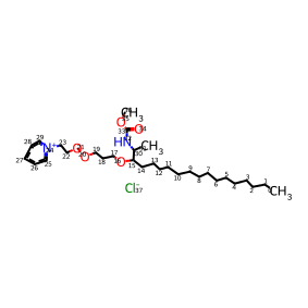 CCCCCCCCCCCCCCCC(OCCCOOCC[n+]1ccccc1)C(C)NC(=O)OC.[Cl-]